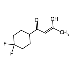 C/C(O)=C/C(=O)C1CCC(F)(F)CC1